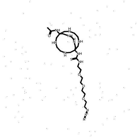 CC(=O)NC12CNCCNCC(NC(=S)NCCOCCOCCOCCN=[N+]=[N-])(CNCCNC1)CNCCNC2